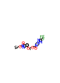 CC(COCC(=O)N1CCN(c2ncc(C(F)(F)F)cn2)CC1)Oc1cccc2c(=O)n(COCC[Si](C)(C)C)ncc12